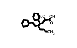 C=CC=CC(C=Cc1ccccc1)=C(C=C(C)C(=O)O)c1ccccc1